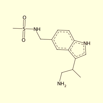 CC(CN)c1c[nH]c2ccc(CNS(C)(=O)=O)cc12